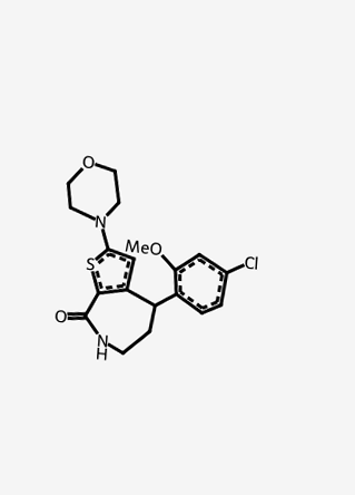 COc1cc(Cl)ccc1C1CCNC(=O)c2sc(N3CCOCC3)cc21